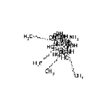 CCCCCCCCCCC[C@@H](O)CC(=O)NC1C(OC(=O)C[C@H](O)CCCCCCCCCCC)[C@H](O)C(CO[C@@H]2O[C@H](CO)[C@@H](OP(=O)(O)O)C(OC(=O)C[C@H](O)CCCCCCCCCCC)C2NC(=O)C[C@H](O)CCCCCCCCCCC)O[C@@H]1OP(=O)(O)OP(=O)(O)CCN